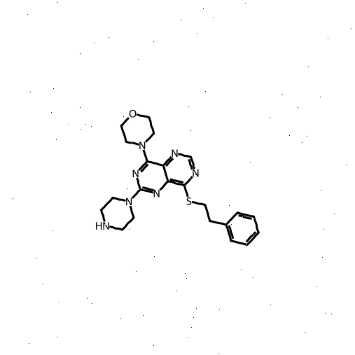 c1ccc(CCSc2ncnc3c(N4CCOCC4)nc(N4CCNCC4)nc23)cc1